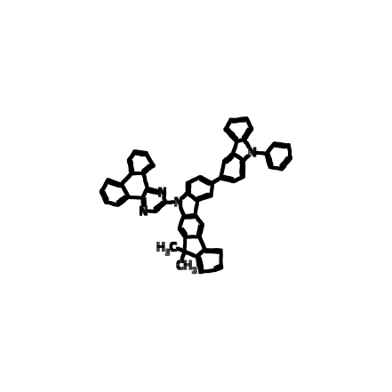 CC1(C)c2ccccc2-c2cc3c4cc(-c5ccc6c(c5)c5ccccc5n6-c5ccccc5)ccc4n(-c4cnc5c6ccccc6c6ccccc6c5n4)c3cc21